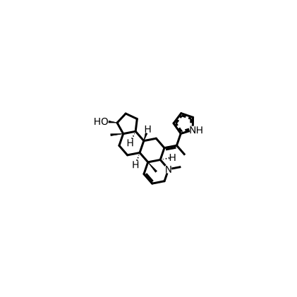 CC(=C1C[C@@H]2[C@H](CC[C@]3(C)[C@@H](O)CC[C@@H]23)[C@@]2(C)C=CCN(C)[C@H]12)c1ccc[nH]1